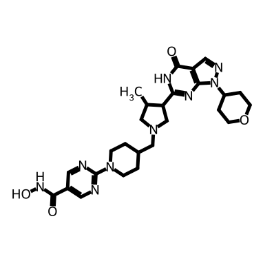 CC1CN(CC2CCN(c3ncc(C(=O)NO)cn3)CC2)CC1c1nc2c(cnn2C2CCOCC2)c(=O)[nH]1